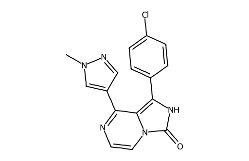 Cn1cc(-c2nccn3c(=O)[nH]c(-c4ccc(Cl)cc4)c23)cn1